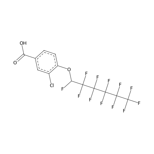 O=C(O)c1ccc(OC(F)C(F)(F)C(F)(F)C(F)(F)C(F)(F)C(F)(F)F)c(Cl)c1